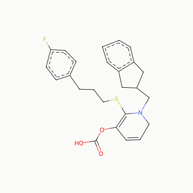 O=C(O)OC1=C(SCCCc2ccc(F)cc2)N(CC2Cc3ccccc3C2)CC=C1